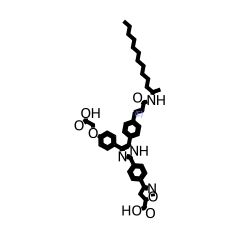 CCCCCCCCCCCC(C)NC(=O)/C=C/c1ccc(-c2[nH]c(-c3ccc(C4=NOC(C(=O)O)C4)cc3)nc2-c2ccc(OCC(=O)O)cc2)cc1